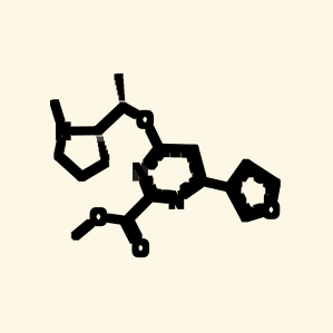 COC(=O)c1nc(O[C@@H](C)[C@@H]2CCCN2C)cc(-c2ccoc2)n1